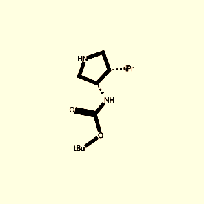 CC(C)[C@H]1CNC[C@H]1NC(=O)OC(C)(C)C